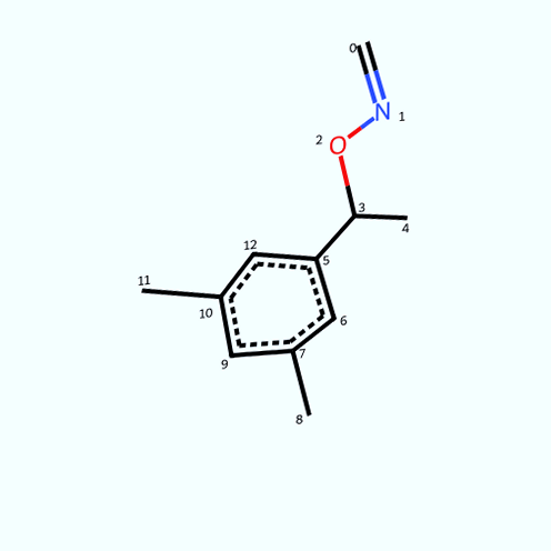 C=NOC(C)c1cc(C)cc(C)c1